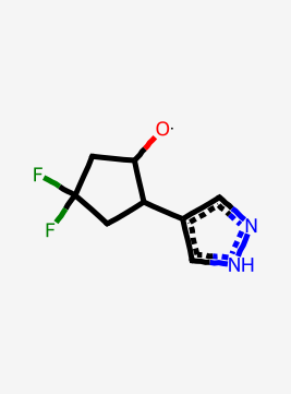 [O]C1CC(F)(F)CC1c1cn[nH]c1